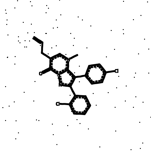 C=CCc1cn(C)c2c(-c3ccc(Cl)cc3)c(-c3ccccc3Cl)nn2c1=O